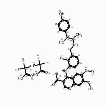 CCOc1cc2ncc(C(N)=O)c(Nc3cccc(CN[C@H](C)[C@@H](O)c4ccc(O)cc4)c3CC)c2cc1OCC.O=C(O)C(F)(F)F.O=C(O)C(F)(F)F